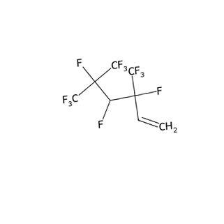 C=CC(F)(C(F)C(F)(C(F)(F)F)C(F)(F)F)C(F)(F)F